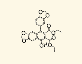 CCOC(=O)c1c(C(=O)OCC)c(-c2ccc3c(c2)OCO3)c2cc3c(cc2c1O)OCO3